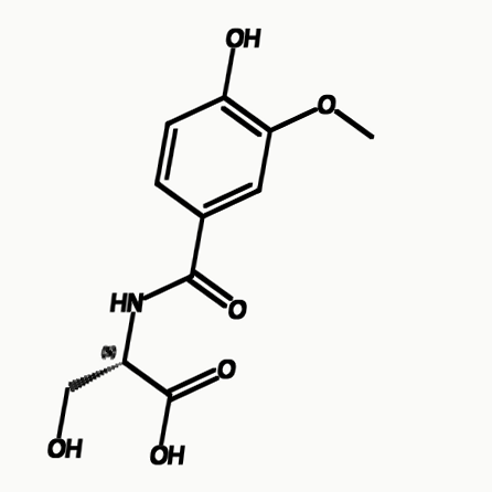 COc1cc(C(=O)N[C@@H](CO)C(=O)O)ccc1O